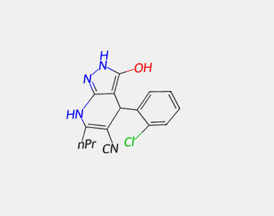 CCCC1=C(C#N)C(c2ccccc2Cl)c2c(n[nH]c2O)N1